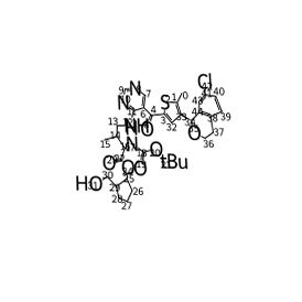 Cc1sc(C(=O)c2cncnc2NCC(C)[C@H](NC(=O)OC(C)(C)C)C(=O)OC2CCCC2CO)cc1[C@@H]1OCCc2ccc(Cl)cc21